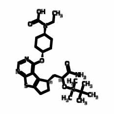 CCN(C(=O)O)[C@H]1CC[C@H](Oc2ncnc3sc4c(c23)[C@@H](C[C@H](O[Si](C)(C)C(C)(C)C)C(N)=O)CC4)CC1